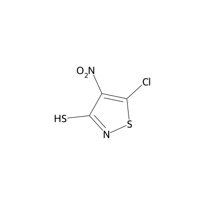 O=[N+]([O-])c1c(S)nsc1Cl